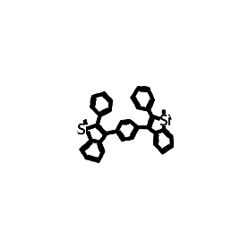 C[Si]1(C)C(c2ccccc2)=C(c2ccc(C3=C(c4ccccc4)[Si](C)(C)c4ccccc43)cc2)c2ccccc21